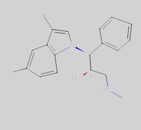 CNC[C@@H](O)[C@H](c1ccccc1)n1cc(C)c2cc(F)ccc21.Cl